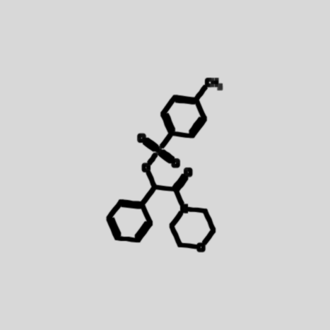 Cc1ccc(S(=O)(=O)OC(C(=O)N2CCOCC2)c2ccccc2)cc1